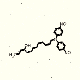 C=C\C=C(O)/C=C\C=C\C=C/C=C\CN(c1ccc(N=O)cc1)c1ccc(N=O)cc1